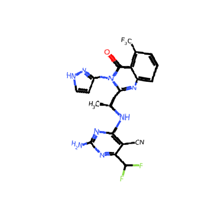 C[C@H](Nc1nc(N)nc(C(F)F)c1C#N)c1nc2cccc(C(F)(F)F)c2c(=O)n1-c1cc[nH]n1